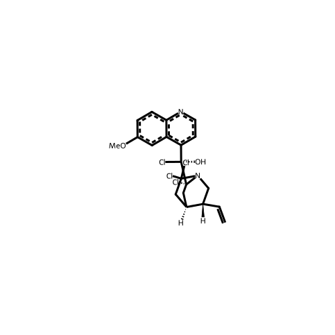 C=C[C@H]1CN2C(Cl)(Cl)C[C@H]1C[C@@]2(Cl)[C@@](O)(Cl)c1ccnc2ccc(OC)cc12